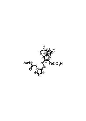 CNC(=O)Cn1nnnc1SCC1=C(OC(=O)O)N2C(=O)[C@H]3NCOC1[C@H]32